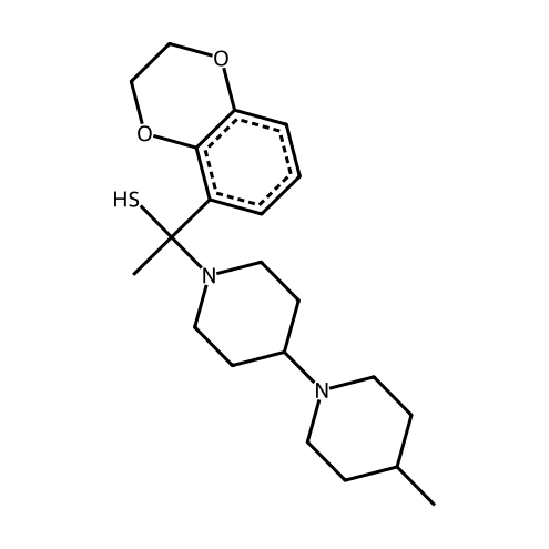 CC1CCN(C2CCN(C(C)(S)c3cccc4c3OCCO4)CC2)CC1